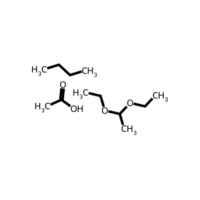 CC(=O)O.CCCC.CCOC(C)OCC